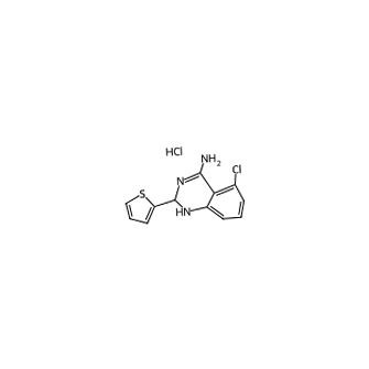 Cl.NC1=NC(c2cccs2)Nc2cccc(Cl)c21